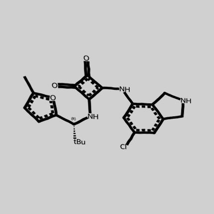 Cc1ccc([C@H](Nc2c(Nc3cc(Cl)cc4c3CNC4)c(=O)c2=O)C(C)(C)C)o1